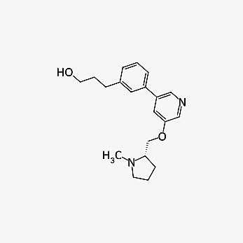 CN1CCC[C@H]1COc1cncc(-c2cccc(CCCO)c2)c1